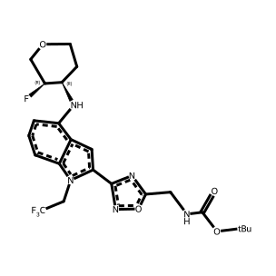 CC(C)(C)OC(=O)NCc1nc(-c2cc3c(N[C@@H]4CCOC[C@@H]4F)cccc3n2CC(F)(F)F)no1